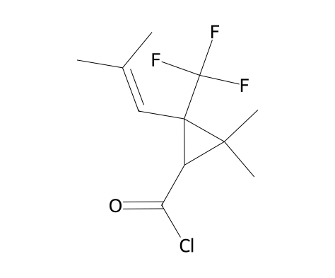 CC(C)=CC1(C(F)(F)F)C(C(=O)Cl)C1(C)C